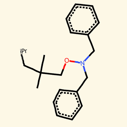 CC(C)CC(C)(C)CON(Cc1ccccc1)Cc1ccccc1